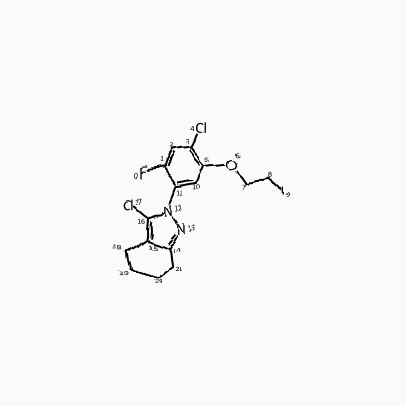 Fc1cc(Cl)c(OCCI)cc1-n1nc2c(c1Cl)CCCC2